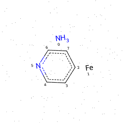 N.[Fe].c1ccncc1